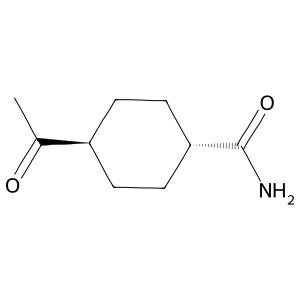 CC(=O)[C@H]1CC[C@H](C(N)=O)CC1